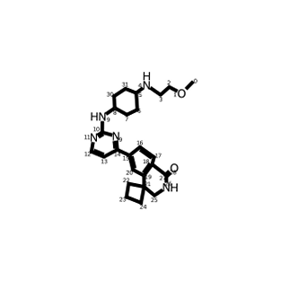 COCCNC1CCC(Nc2nccc(-c3ccc4c(c3)C3(CCC3)CNC4=O)n2)CC1